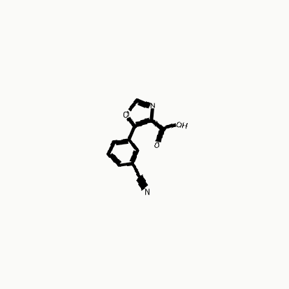 N#Cc1cccc(-c2ocnc2C(=O)O)c1